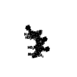 CO[C@@H]1OC(COS(=O)(=O)O)[C@@H](O[C@H]2C[C@H](OCc3ccccc3)C(O[C@@H]3OC(COS(=O)(=O)O)[C@@H](O[C@H]4C[C@H](OCc5ccccc5)[C@@H](O[C@@H]5OC(COS(=O)(=O)O)[C@@H](O[C@H]6C[C@H](OCc7ccccc7)[C@H](C)C(C)O6)[C@H](C)C5N=[N+]=[N-])C(C)O4)[C@H](C)C3N=[N+]=[N-])C(C)O2)[C@H](C)C1N=[N+]=[N-]